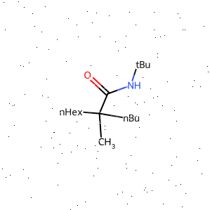 CCCCCCC(C)(CCCC)C(=O)NC(C)(C)C